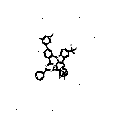 Fc1cc(F)cc(-c2ccc(-c3nc(-c4ccccc4)nc(-c4ccccc4)n3)c(-n3c4ccc(C(F)(F)F)cc4c4cc(C(F)(F)F)ccc43)c2)c1